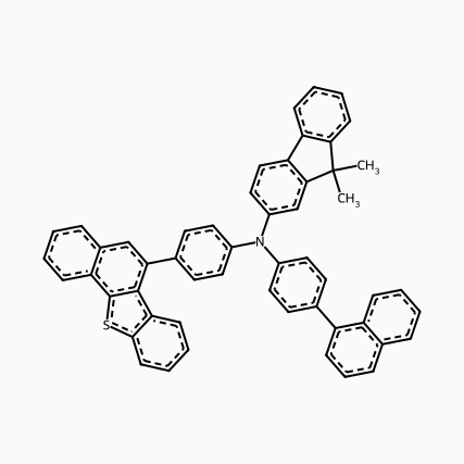 CC1(C)c2ccccc2-c2ccc(N(c3ccc(-c4cccc5ccccc45)cc3)c3ccc(-c4cc5ccccc5c5sc6ccccc6c45)cc3)cc21